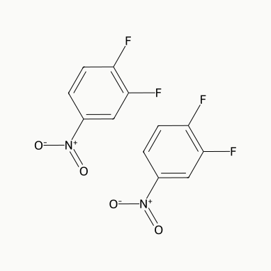 O=[N+]([O-])c1ccc(F)c(F)c1.O=[N+]([O-])c1ccc(F)c(F)c1